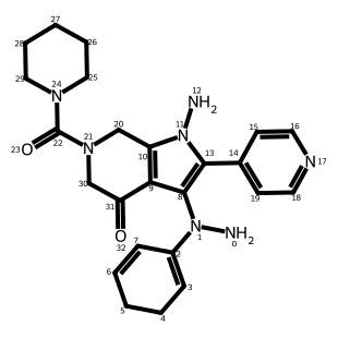 NN(C1=CCCC=C1)c1c2c(n(N)c1-c1ccncc1)CN(C(=O)N1CCCCC1)CC2=O